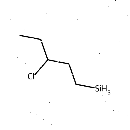 CCC(Cl)CC[SiH3]